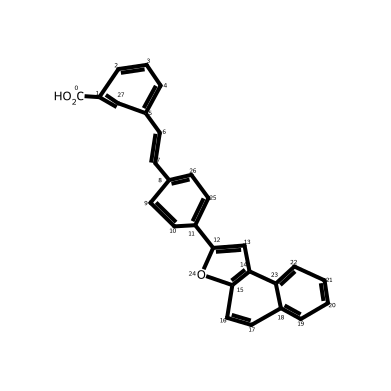 O=C(O)c1cccc(C=Cc2ccc(-c3cc4c(ccc5ccccc54)o3)cc2)c1